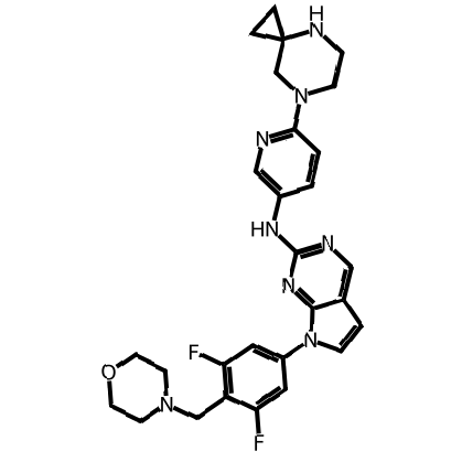 Fc1cc(-n2ccc3cnc(Nc4ccc(N5CCNC6(CC6)C5)nc4)nc32)cc(F)c1CN1CCOCC1